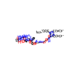 CCC(=O)NCCNC(=O)/N=C(/N)NCCCC(NC(=O)[C@H](c1ccccc1)c1cccc(OCCCCNC(=O)CCOCCNC(=O)CN2CCN(CC(=O)[O-])CCN(CC(=O)[O-])CCN(CC(=O)[O-])CC2)c1)C(=O)NCc1ccc(O)cc1.[In+3]